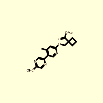 COC(=O)C1(COc2cc(C)c(-c3cnc(C=O)cn3)cn2)CCC1